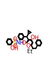 CCC(Cc1ccccc1)c1cc(O)c(C(c2cccc(NS(=O)(=O)c3ccccc3O)c2)C2CC2)c(=O)o1